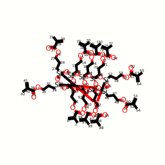 C=C(C)C(=O)OCCC[Si]12O[Si]3(CCCOC(=O)C(=C)C)O[Si]4(CCCOC(=O)C(=C)C)O[Si](CCCOC(=O)C(=C)C)(O1)O[Si]1(CCCOC(=O)C(=C)C)O[Si](CCCOC(=O)C(=C)C)(O4)O[Si]4(CCCOC(=O)C(=C)C)O[Si](CCCOC(=O)C(=C)C)(O[Si](CCCOC(=O)C(=C)C)(O[Si](CCCOC(=O)C(=C)C)(O3)O4)O2)O1